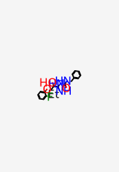 CCNC(NC(=O)NCc1ccccc1)C(O)COc1ccccc1F